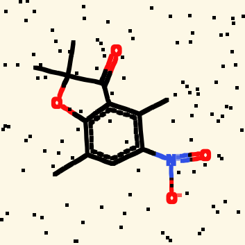 Cc1cc([N+](=O)[O-])c(C)c2c1OC(C)(C)C2=O